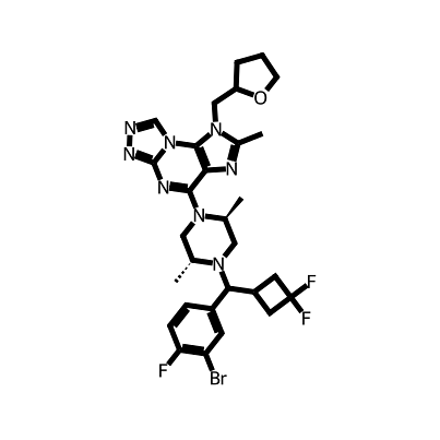 Cc1nc2c(N3C[C@@H](C)N(C(c4ccc(F)c(Br)c4)C4CC(F)(F)C4)C[C@@H]3C)nc3nncn3c2n1CC1CCCO1